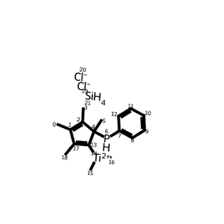 CC1=C(C)C(C)(Pc2ccccc2)[C]([Ti+2]([CH3])[CH3])=C1C.[Cl-].[Cl-].[SiH4]